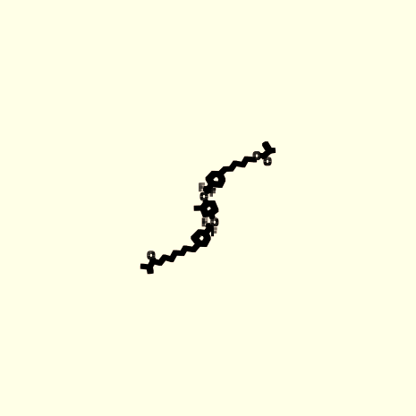 C=C(C)C(=O)CCCCCCCc1ccc(C(F)(F)Oc2ccc(OC(F)(F)c3ccc(CCCCCCOC(=O)C(=C)C)cc3)c(C)c2)cc1